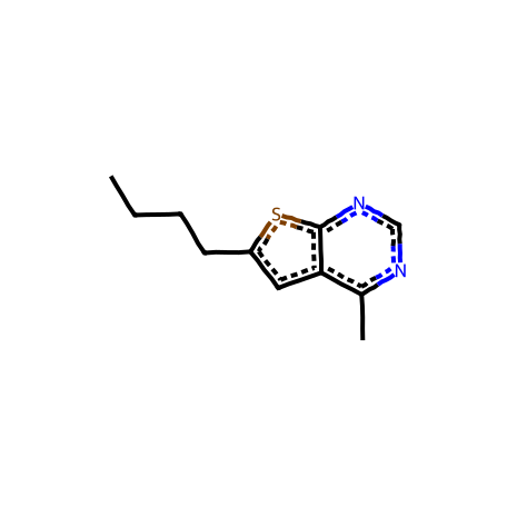 CCCCc1cc2c(C)ncnc2s1